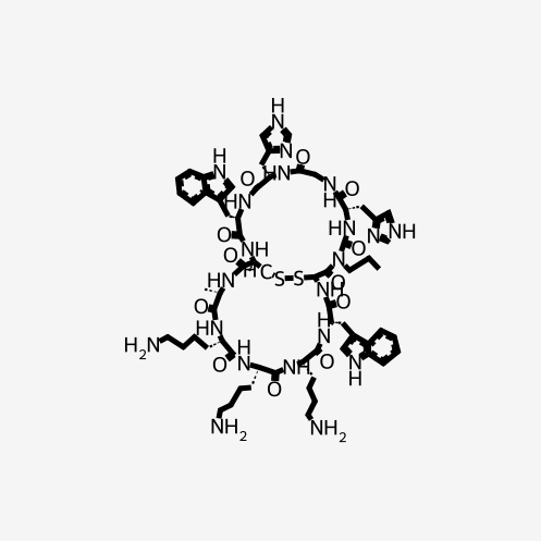 CCCN1C(=O)N[C@@H](Cc2c[nH]cn2)C(=O)NCC(=O)N[C@@H](Cc2c[nH]cn2)C(=O)N[C@@H](Cc2c[nH]c3ccccc23)C(=O)N[C@H]2CSSC(NC(=O)[C@H](Cc3c[nH]c4ccccc34)NC(=O)[C@H](CCCCN)NC(=O)[C@H](CCCCN)NC(=O)[C@H](CCCCN)NC(=O)[C@H](C)NC2=O)C1=O